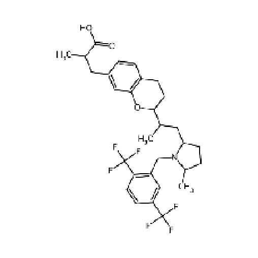 CC(Cc1ccc2c(c1)OC(C(C)CC1CCC(C)N1Cc1cc(C(F)(F)F)ccc1C(F)(F)F)CC2)C(=O)O